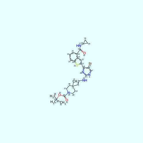 CC1(CCNc2ncc(Br)c(-c3cc4c(C(=O)NC5CC5)cccc4s3)n2)CCN(C(=O)OC(C)(C)C)CC1